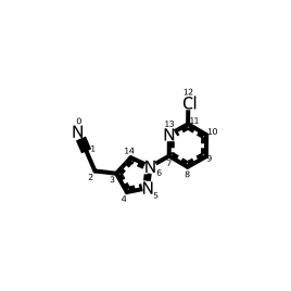 N#CCc1cnn(-c2cccc(Cl)n2)c1